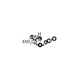 CCOC(=O)CN(Cc1ccc(CN2CCC3(CCN(C4CCCCC4)CC3)C2)cc1)CC(Cc1ncc[nH]1)Cc1ncc[nH]1